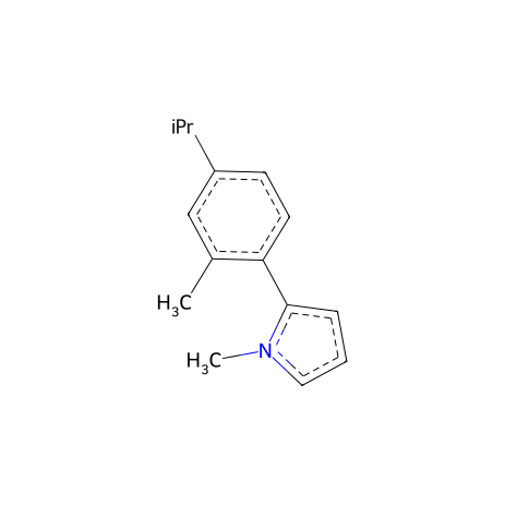 Cc1cc(C(C)C)ccc1-c1cccn1C